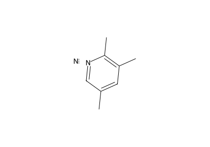 Cc1cnc(C)c(C)c1.[N]